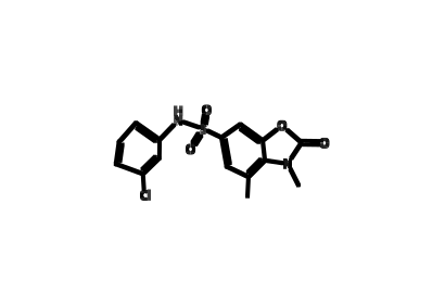 Cc1cc(S(=O)(=O)Nc2cccc(Cl)c2)cc2oc(=O)n(C)c12